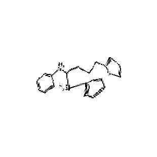 c1ccc([SiH2]C(CCCc2cccs2)[SiH2]c2ccccc2)cc1